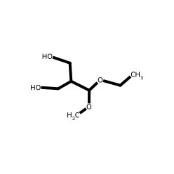 CCOC(OC)C(CO)CO